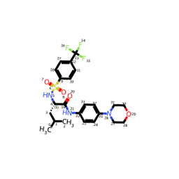 CC(C)C[C@H](NS(=O)(=O)c1ccc(C(F)(F)F)cc1)C(=O)Nc1ccc(N2CCOCC2)cc1